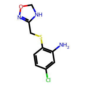 Nc1cc(Cl)ccc1SCC1=NOCN1